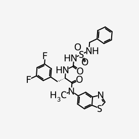 CN(C(=O)[C@H](Cc1cc(F)cc(F)c1)NC(=O)NS(=O)(=O)NCc1ccccc1)c1ccc2scnc2c1